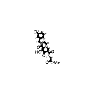 COC(=O)CNC(=O)c1cn2ccn(Cc3cccc(Cl)c3)c(=O)c2c(O)c1=O